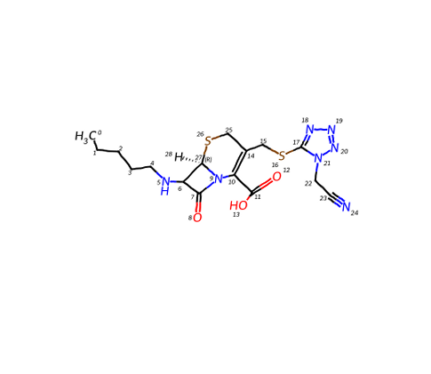 CCCCCNC1C(=O)N2C(C(=O)O)=C(CSc3nnnn3CC#N)CS[C@H]12